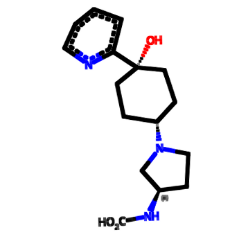 O=C(O)N[C@@H]1CCN([C@H]2CC[C@](O)(c3ccccn3)CC2)C1